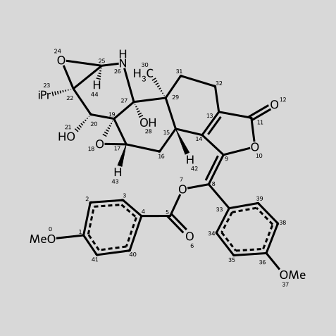 COc1ccc(C(=O)O/C(=C2/OC(=O)C3=C2[C@@H]2C[C@@H]4O[C@@]45[C@H](O)[C@@]4(C(C)C)O[C@H]4N[C@@]5(O)[C@@]2(C)CC3)c2ccc(OC)cc2)cc1